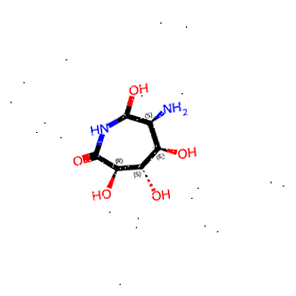 N[C@@H]1C(O)NC(=O)[C@H](O)[C@@H](O)[C@@H]1O